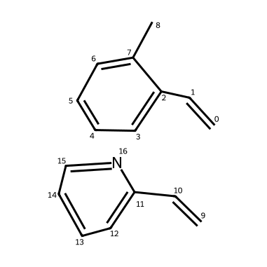 C=Cc1ccccc1C.C=Cc1ccccn1